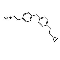 CNCCc1ccc(Cc2ccc(CCC3CC3)cc2)cc1